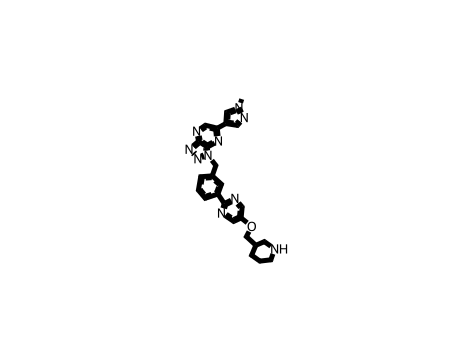 Cn1cc(-c2cnc3nnn(Cc4cccc(-c5ncc(OCC6CCCNC6)cn5)c4)c3n2)cn1